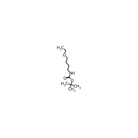 CCOCCCCNC(=O)OC(C)(C)C